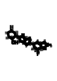 Cn1cc2cc(-c3cc4cn(C5CNCC[C@H]5O)nc4s3)cc(F)c2n1